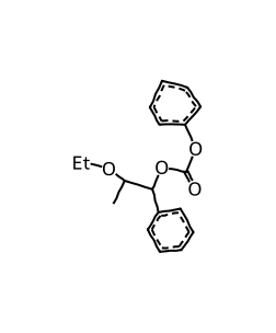 CCOC(C)C(OC(=O)Oc1ccccc1)c1ccccc1